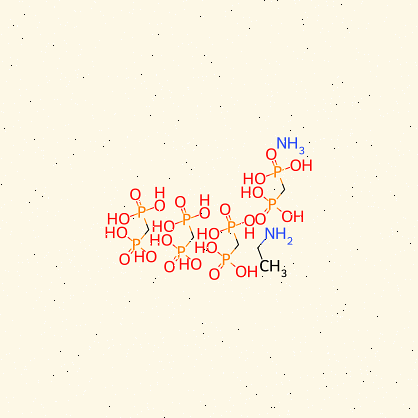 CCN.N.O=P(O)(O)CP(=O)(O)O.O=P(O)(O)CP(=O)(O)O.O=P(O)(O)CP(=O)(O)O.O=P(O)(O)CP(=O)(O)O